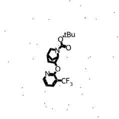 CC(C)(C)OC(=O)N1CC2CC(Oc3ncccc3C(F)(F)F)C1C2